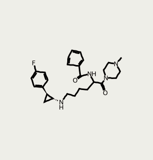 CN1CCN(C(=O)C(CCCCN[C@@H]2C[C@H]2c2ccc(F)cc2)NC(=O)c2ccccc2)CC1